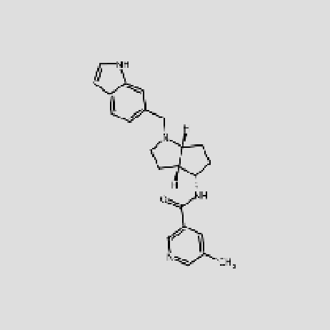 Cc1cncc(C(=O)N[C@H]2CC[C@@H]3[C@H]2CCN3Cc2ccc3cc[nH]c3c2)c1